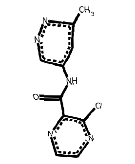 Cc1cc(NC(=O)c2nccnc2Cl)cnn1